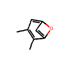 Cc1cc2cc(c1C)O2